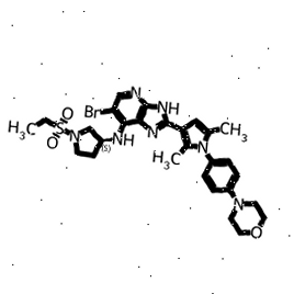 CCS(=O)(=O)N1CC[C@H](Nc2c(Br)cnc3[nH]c(-c4cc(C)n(-c5ccc(N6CCOCC6)cc5)c4C)nc23)C1